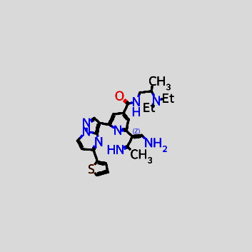 CCN(CC)C(C)CNC(=O)c1cc(/C(=C/N)C(C)=N)nc(-c2cnn3ccc(-c4cccs4)nc23)c1